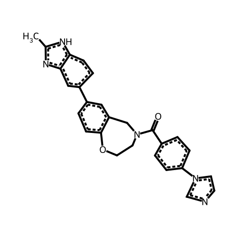 Cc1nc2cc(-c3ccc4c(c3)CN(C(=O)c3ccc(-n5ccnc5)cc3)CCO4)ccc2[nH]1